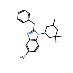 CC1CC(n2c(Cc3ccccc3)nc3cc(C(=O)O)ccc32)CC(C)(C)C1